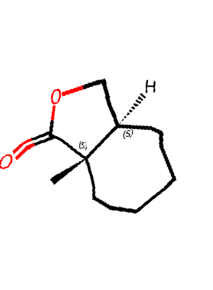 C[C@]12CCCC[C@@H]1COC2=O